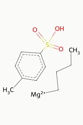 CCC[CH2][Mg+2].Cc1ccc(S(=O)(=O)O)cc1